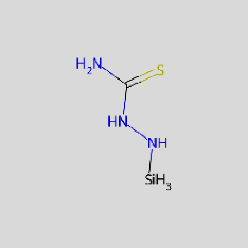 NC(=S)NN[SiH3]